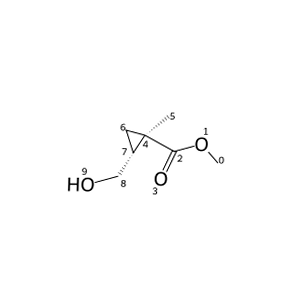 COC(=O)[C@]1(C)C[C@H]1CO